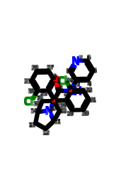 O=C(Nc1cccnc1)C1CC2CCC(C1)N2C(c1ccccc1Cl)c1ccccc1Cl